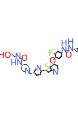 CN(CCO)C(=O)NC1CCN(Cc2ccc(-c3cc4nccc(Oc5ccc(NC(=O)NC6CC6)cc5F)c4s3)nc2)CC1